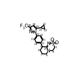 O=S1(=O)CCN2CCCC(c3ccc(-n4nc(C(F)(F)F)cc4C4CC4)cc3)C2=N1